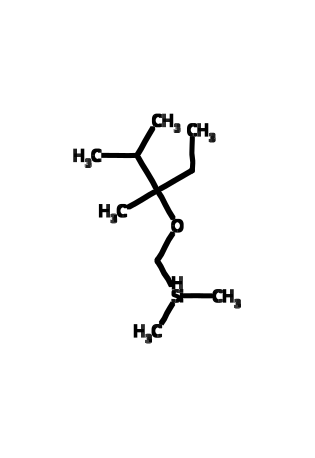 CCC(C)(OC[SiH](C)C)C(C)C